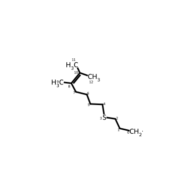 [CH2]CCSCCCCC(C)=C(C)C